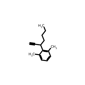 [C]#CC(CCCC)c1c(C)cccc1C